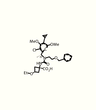 CCO[C@H]1C[C@@](NC(=O)N(CCOCc2ccccc2)[C@H](C)c2cc(OC)c(C3=CC3)c(OC)c2Cl)(C(=O)O)C1